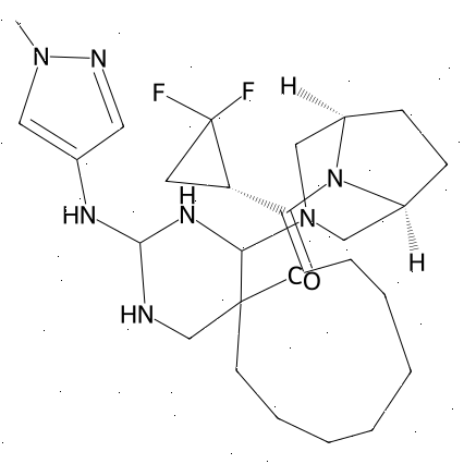 Cn1cc(NC2NCC3(CCCCCCCC3)C(N3C[C@H]4CC[C@@H](C3)N4C(=O)[C@@H]3CC3(F)F)N2)cn1